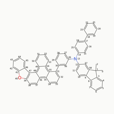 CC1(C)c2ccccc2-c2ccc(N(c3ccc(-c4ccccc4)cc3)c3cccc(-c4cccc5c6ccc7oc8ccccc8c7c6c6ccccc6c45)c3)cc21